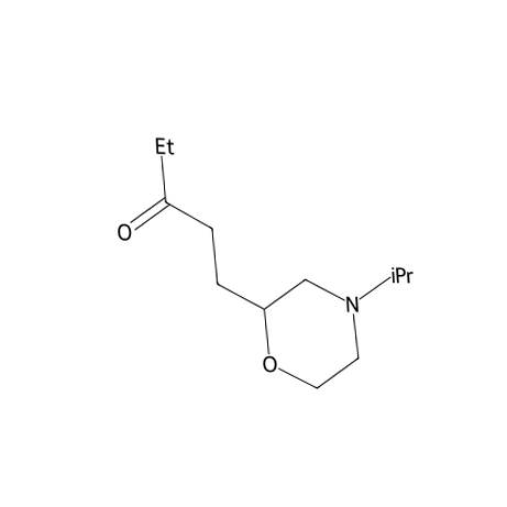 CCC(=O)CCC1CN(C(C)C)CCO1